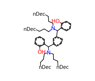 CCCCCCCCCCCCCN(CCCCCCCCCCCCC)C(c1cccc(C(c2ccccc2O)N(CCCCCCCCCCCCC)CCCCCCCCCCCCC)c1)c1ccccc1O